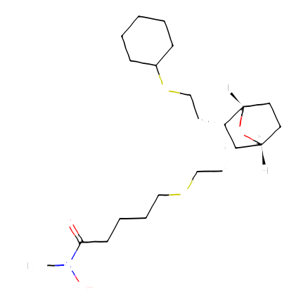 CN(O)C(=O)CCCCSCC[C@@H]1[C@H](CCSC2CCCCC2)[C@@H]2CC[C@H]1O2